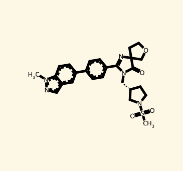 Cn1ncc2cc(-c3ccc(C4=NC5(CCOC5)C(=O)N4C[C@@H]4CCN(S(C)(=O)=O)C4)cc3)ccc21